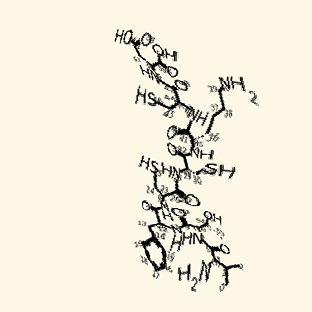 CC(C)[C@H](N)C(=O)N[C@H](C(=O)N[C@@H](Cc1ccccc1)C(=O)N[C@@H](CS)C(=O)N[C@@H](CS)C(=O)N[C@@H](CCCCN)C(=O)N[C@@H](CS)C(=O)N[C@@H](CC(=O)O)C(=O)O)[C@@H](C)O